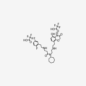 O=C(O)C(F)(F)F.O=C(O)C(F)(F)F.O=C1COc2c(CCNCCN(C(=O)CCNCCc3cc(F)ccc3F)C3CCCCCC3)ccc(O)c2N1